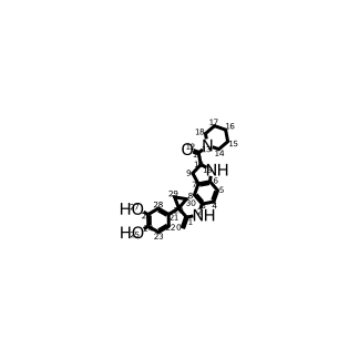 C=C(Nc1ccc2c(c1)CC(C(=O)N1CCCCC1)N2)C1(c2ccc(O)c(O)c2)CC1